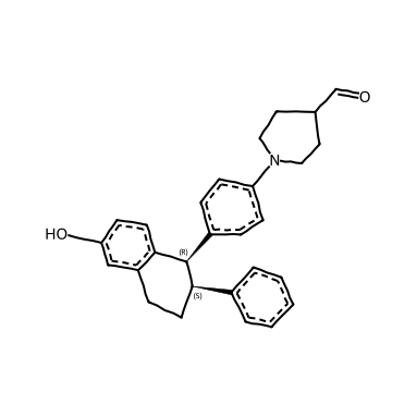 O=CC1CCN(c2ccc([C@@H]3c4ccc(O)cc4CC[C@@H]3c3ccccc3)cc2)CC1